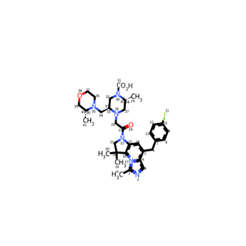 Cc1ncc2c(Cc3ccc(F)cc3)cc3c(n12)C(C)(C)CN3C(=O)CN1C[C@@H](C)N(C(=O)O)C[C@@H]1CN1CCOC[C@H]1C